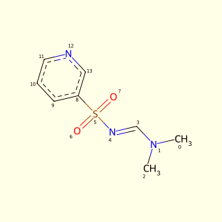 CN(C)C=NS(=O)(=O)c1cccnc1